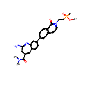 CCCN(CCC)C(=O)C1=Cc2ccc(-c3ccc4c(=O)n(CCP(C)(=O)OCC)ccc4c3)cc2N=C(N)C1